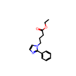 CCOC(=O)CCCn1ccnc1-c1ccccc1